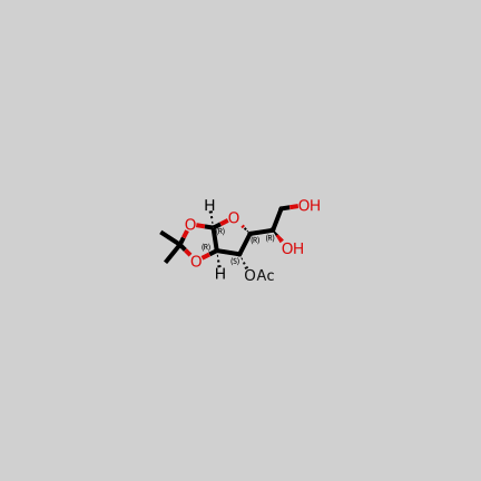 CC(=O)O[C@@H]1[C@H]2OC(C)(C)O[C@H]2O[C@@H]1[C@H](O)CO